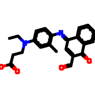 CCN(CCC(=O)O)c1ccc(/N=C2\C=C(C=O)C(=O)c3ccccc32)c(C)c1